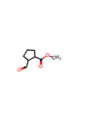 COC(=O)C1CCCC1C=O